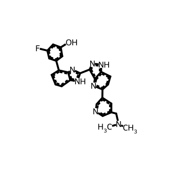 CN(C)Cc1cncc(-c2ccc3[nH]nc(-c4nc5c(-c6cc(O)cc(F)c6)cccc5[nH]4)c3n2)c1